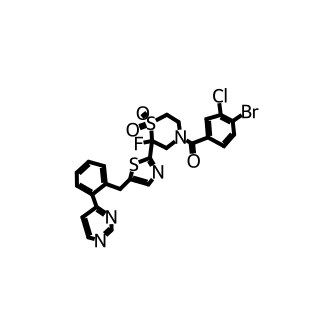 O=C(c1ccc(Br)c(Cl)c1)N1CCS(=O)(=O)C(F)(c2ncc(Cc3ccccc3-c3ccncn3)s2)C1